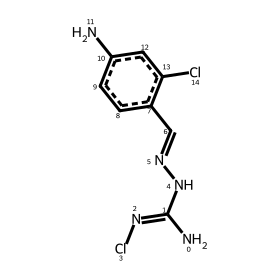 NC(=NCl)NN=Cc1ccc(N)cc1Cl